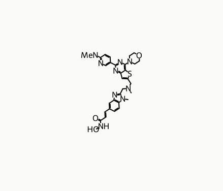 CNc1ccc(-c2nc(N3CCOCC3)c3sc(CN(C)Cc4nc5cc(/C=C/C(=O)NO)ccc5n4C)cc3n2)cn1